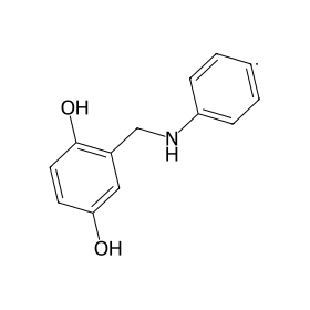 Oc1ccc(O)c(CNc2cc[c]cc2)c1